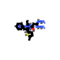 Cc1ccc(C(CCN2C3CC2CC(n2c(C)nnc2C(C)C)C3)NC(=O)C/C(=N/N)NN)s1